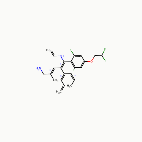 C=C/C=C(\C=C/C)C(/C=C(\C)CN)=C(/NC=C)c1c(F)cc(OCC(F)F)cc1F